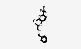 CC(COCc1ccccc1)Oc1ccc(C(F)(F)F)nc1Cl